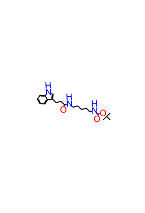 CC(C)(C)OC(=O)NCCCCCNC(=O)CCc1c[nH]c2ccccc12